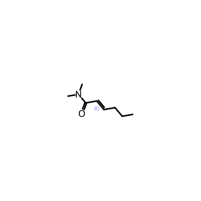 CCC/C=C/C(=O)N(C)C